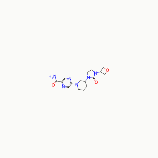 NC(=O)c1cnc(N2CCCC(N3CCN(C4COC4)C3=O)C2)cn1